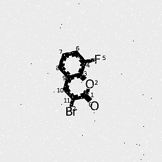 O=c1oc2c(F)cccc2cc1Br